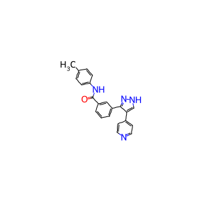 Cc1ccc(NC(=O)c2cccc(-c3n[nH]cc3-c3ccncc3)c2)cc1